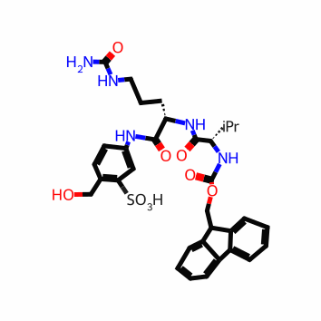 CC(C)[C@H](NC(=O)OCC1c2ccccc2-c2ccccc21)C(=O)N[C@@H](CCCNC(N)=O)C(=O)Nc1ccc(CO)c(S(=O)(=O)O)c1